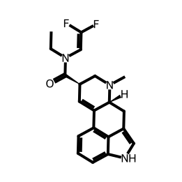 CCN(C=C(F)F)C(=O)[C@@H]1C=C2c3cccc4[nH]cc(c34)C[C@H]2N(C)C1